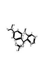 COc1cncnc1C(OC(C)=O)c1ccc(I(C)C)cc1